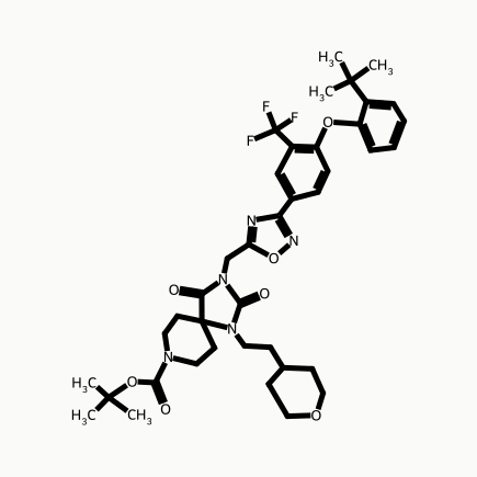 CC(C)(C)OC(=O)N1CCC2(CC1)C(=O)N(Cc1nc(-c3ccc(Oc4ccccc4C(C)(C)C)c(C(F)(F)F)c3)no1)C(=O)N2CCC1CCOCC1